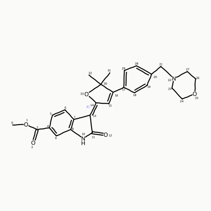 COC(=O)c1ccc2c(c1)NC(=O)/C2=C1\C=C(c2ccc(CN3CCOCC3)cc2)C(C)(C)O1